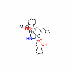 COc1ccccc1[C@]1(O)C[C@H](CC#N)C[C@H]2C(C(=O)Cc3ccccc3O)NC[C@H]21